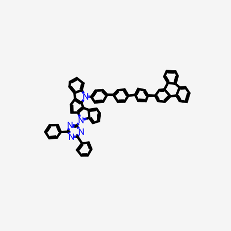 c1ccc(-c2nc(-c3ccccc3)nc(-n3c4ccccc4c4c3ccc3c5ccccc5n(-c5ccc(-c6ccc(-c7ccc(-c8ccc9c%10ccccc%10c%10ccccc%10c9c8)cc7)cc6)cc5)c34)n2)cc1